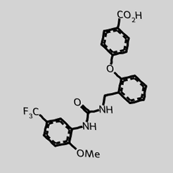 COc1ccc(C(F)(F)F)cc1NC(=O)NCc1ccccc1Oc1ccc(C(=O)O)cc1